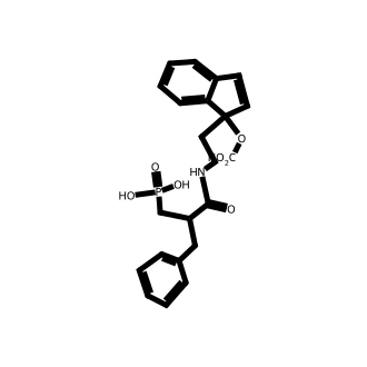 O=C(O)OC1(CCNC(=O)C(Cc2ccccc2)CP(=O)(O)O)C=Cc2ccccc21